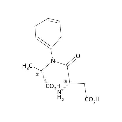 C[C@@H](C(=O)O)N(C(=O)[C@@H](N)CC(=O)O)C1=CCC=CC1